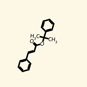 CC(C)(OC(=O)/C=C/c1ccccc1)c1ccccc1